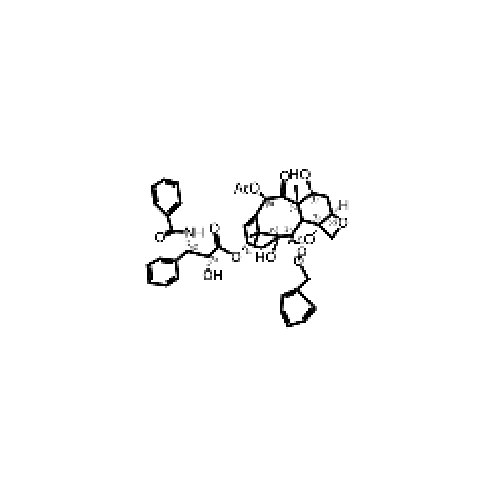 CC(=O)O[C@H]1C(=O)[C@@]2(C)C([C@H](OOCc3ccccc3)[C@]3(O)C[C@H](OC(=O)[C@H](O)[C@@H](NC(=O)c4ccccc4)c4ccccc4)C=C1C3(C)C)[C@]1(OC(C)=O)CO[C@@H]1C[C@@H]2O